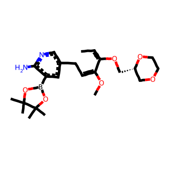 C/C=C(OC[C@H]1COCCO1)\C(=C/Cc1cnc(N)c(B2OC(C)(C)C(C)(C)O2)c1)OC